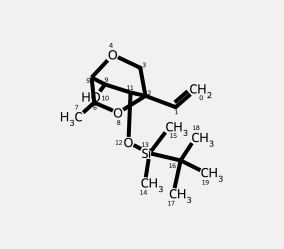 C=CC12COC(C(C)O1)C(O)C2O[Si](C)(C)C(C)(C)C